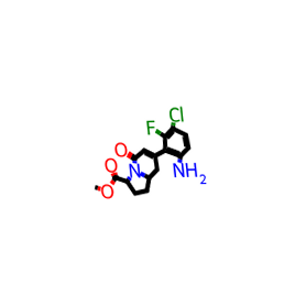 COC(=O)C1CCC2CC(c3c(N)ccc(Cl)c3F)=CC(=O)N21